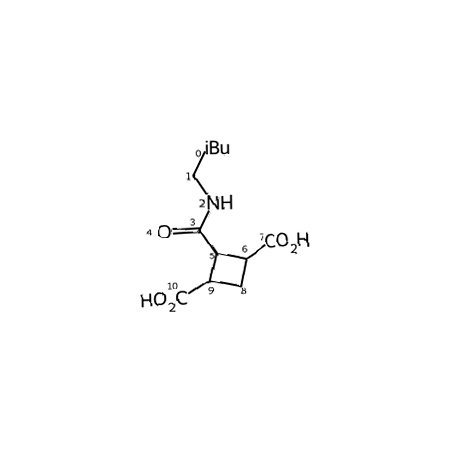 CCC(C)CNC(=O)C1C(C(=O)O)CC1C(=O)O